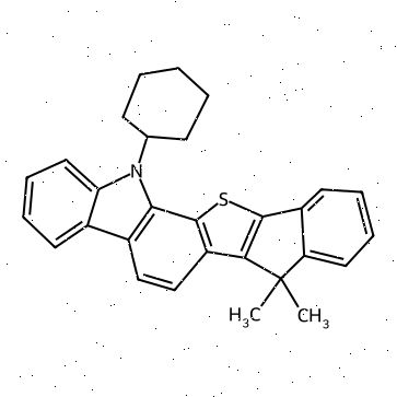 CC1(C)c2ccccc2-c2sc3c(ccc4c5ccccc5n(C5CCCCC5)c43)c21